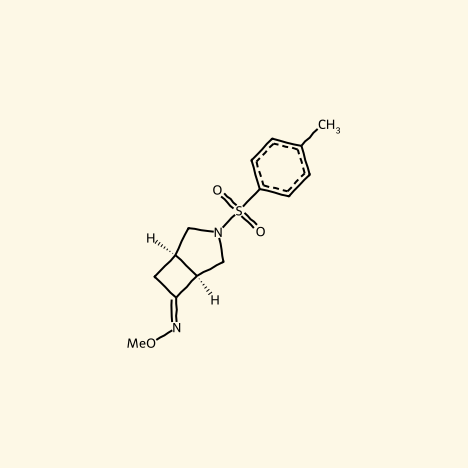 CON=C1C[C@H]2CN(S(=O)(=O)c3ccc(C)cc3)C[C@@H]12